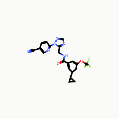 N#Cc1ccc(-n2ncnc2CNC(=O)C2=CC(C3CC3)CC(OC(F)(F)F)=C2)nc1